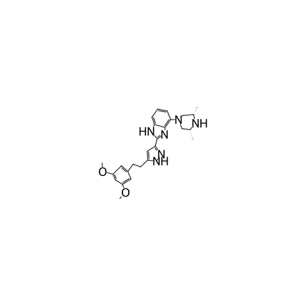 COc1cc(CCc2cc(-c3nc4c(N5C[C@@H](C)N[C@@H](C)C5)cccc4[nH]3)n[nH]2)cc(OC)c1